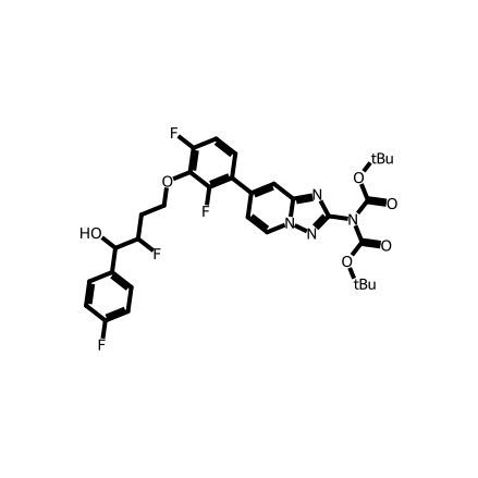 CC(C)(C)OC(=O)N(C(=O)OC(C)(C)C)c1nc2cc(-c3ccc(F)c(OCCC(F)C(O)c4ccc(F)cc4)c3F)ccn2n1